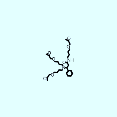 O=C(CC(c1ccccc1)N(CCCCOCC1CO1)CCCCOCC1CO1)NCCCCOCC1CO1